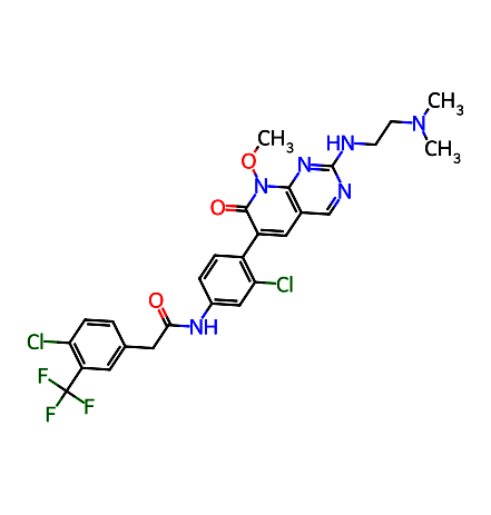 COn1c(=O)c(-c2ccc(NC(=O)Cc3ccc(Cl)c(C(F)(F)F)c3)cc2Cl)cc2cnc(NCCN(C)C)nc21